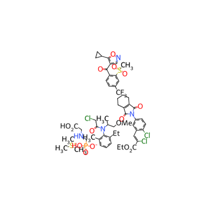 CCOC(=O)/C(Cl)=C/c1cc(N2C(=O)C3=C(CCCC3)C2=O)ccc1Cl.CCc1cccc(C)c1N(C(=O)CCl)C(C)COC.CS(=O)(=O)c1cc(C(F)(F)F)ccc1C(=O)c1cnoc1C1CC1.C[S+](C)C.O=C(O)CNCP(=O)([O-])O